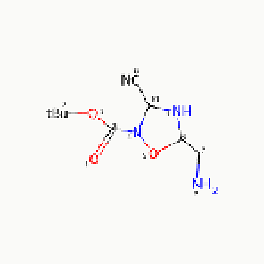 CC(C)(C)OC(=O)N1OC(CN)NC1C#N